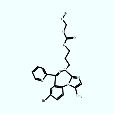 CCOCOC(=O)OCCC[C@@H]1N=C(c2ccccn2)c2cc(Br)ccc2-n2c(C)cnc21